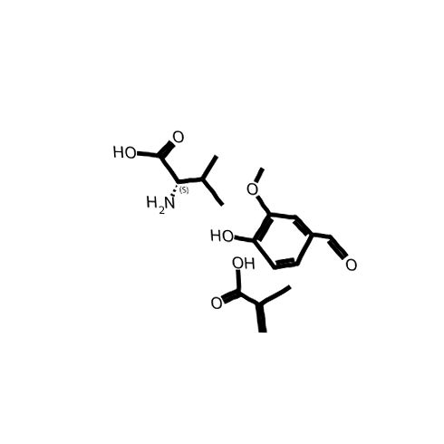 C=C(C)C(=O)O.CC(C)[C@H](N)C(=O)O.COc1cc(C=O)ccc1O